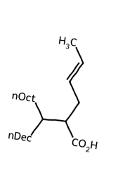 CC=CCC(C(=O)O)C(CCCCCCCC)CCCCCCCCCC